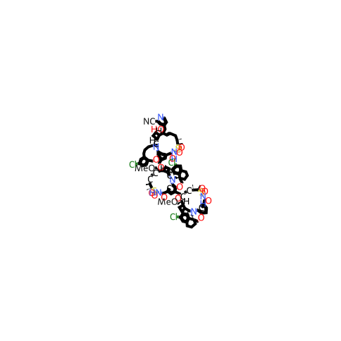 COC[C@]1(OCc2cc3cc4c2OCc2ccc(Cl)cc2CCCCN4C[C@@H]2CC[C@H]2[C@](O)(Cc2ccnc(C#N)c2)/C=C/C[C@H](C)[C@@H](C)S(=O)(=O)NC3=O)CCC[C@H](C)[C@@H](C)S(=O)(=O)NC(=O)c2cc(CO[C@]3(COC)CCC[C@H](C)[C@@H](C)S(=O)(=O)NC(=O)c4ccc5c(c4)N(C[C@@H]4CC[C@H]43)C[C@@]3(CCCc4cc(Cl)ccc43)CO5)c3c(c2)N(C[C@@H]2CC[C@H]21)C[C@@]1(CCCc2cc(Cl)ccc21)CO3